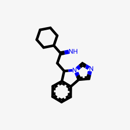 N=C(CC1c2ccccc2-c2cncn21)C1CCCCC1